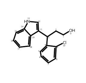 OCCC(c1ccccc1Cl)c1c[nH]c2ccccc12